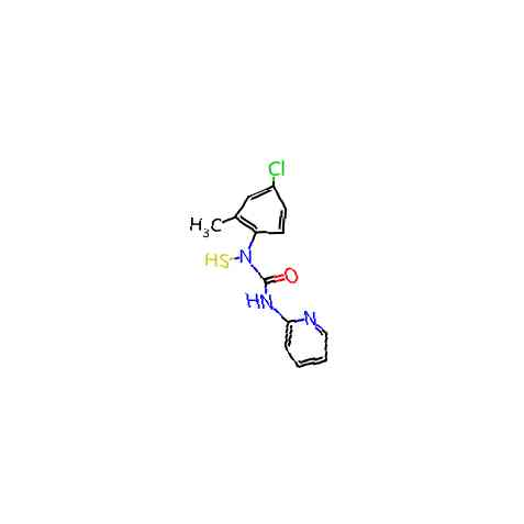 Cc1cc(Cl)ccc1N(S)C(=O)Nc1ccccn1